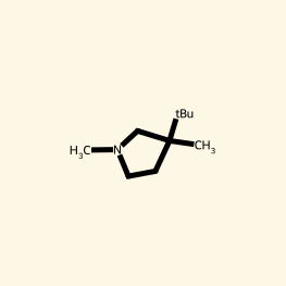 CN1CCC(C)(C(C)(C)C)C1